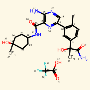 Cc1ccc(C(O)(C(N)=O)C(F)(F)F)cc1-c1cnc(N)c(C(=O)NC2CCC(O)(C(F)(F)F)CC2)n1.O=C(O)C(F)(F)F